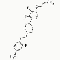 C=CCOc1ccc(C2CCC(CCc3ccc(C)cc3F)CC2)c(F)c1F